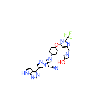 N#CCC1(n2cc(-c3ncnc4[nH]ccc34)cn2)CN(C2CCC(Oc3cc(CN4CC(O)C4)nc(C(F)(F)F)n3)CC2)C1